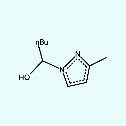 CCCCC(O)n1ccc(C)n1